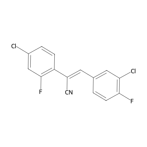 N#C/C(=C\c1ccc(F)c(Cl)c1)c1ccc(Cl)cc1F